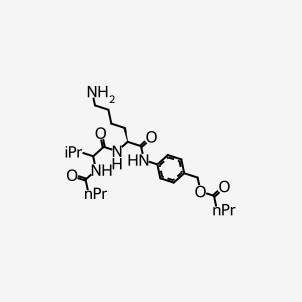 CCCC(=O)NC(C(=O)N[C@@H](CCCCN)C(=O)Nc1ccc(COC(=O)CCC)cc1)C(C)C